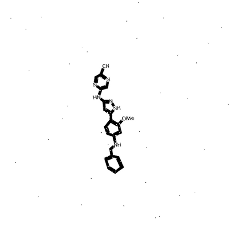 COc1cc(NCc2ccccc2)ccc1-c1cc(Nc2cnc(C#N)cn2)n[nH]1